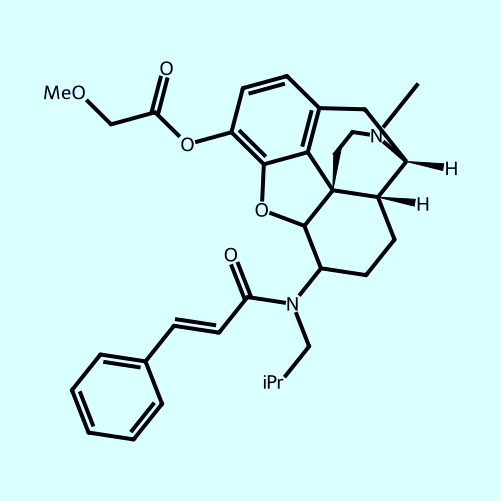 COCC(=O)Oc1ccc2c3c1OC1C(N(CC(C)C)C(=O)/C=C/c4ccccc4)CC[C@H]4[C@@H](C2)N(C)CC[C@]314